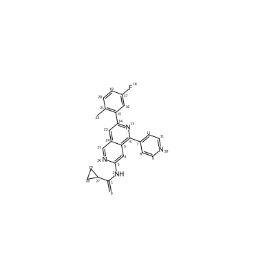 C=C(Nc1cc2c(-c3ccncc3)nc(-c3cc(F)ccc3C)cc2cn1)C1CC1